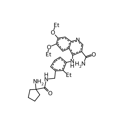 CCOc1cc2ncc(C(N)=O)c(Nc3cccc(CNC(=O)C4(N)CCCC4)c3CC)c2cc1OCC